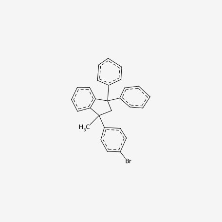 CC1(c2ccc(Br)cc2)CC(c2ccccc2)(c2ccccc2)c2ccccc21